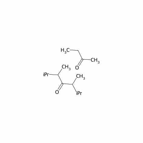 CC(C)C(C)C(=O)C(C)C(C)C.CCC(C)=O